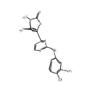 Cc1c(-c2ccnc(Nc3ccc(C#N)c(C(F)(F)F)c3)n2)sc(=O)n1C